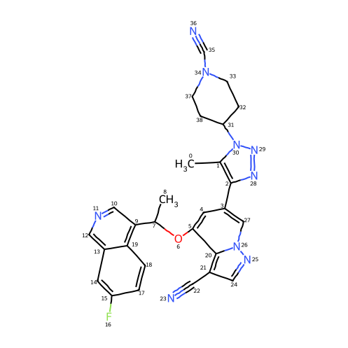 Cc1c(-c2cc(OC(C)c3cncc4cc(F)ccc34)c3c(C#N)cnn3c2)nnn1C1CCN(C#N)CC1